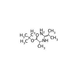 CC(C)=C(N)NC(C)C(=O)OC(C)(C)C